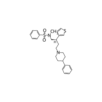 CN(C[C@H](CCN1CCC(c2ccccc2)CC1)c1ccsc1)S(=O)(=O)c1ccccc1